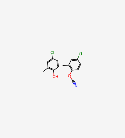 Cc1cc(Cl)ccc1O.Cc1cc(Cl)ccc1OC#N